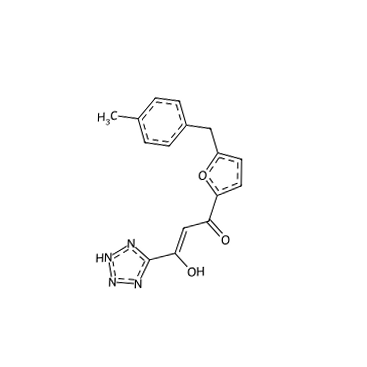 Cc1ccc(Cc2ccc(C(=O)C=C(O)c3nn[nH]n3)o2)cc1